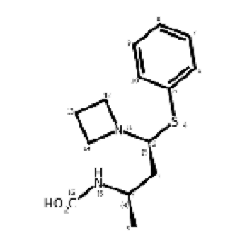 C[C@H](C[C@H](Sc1ccccc1)N1CCC1)NC(=O)O